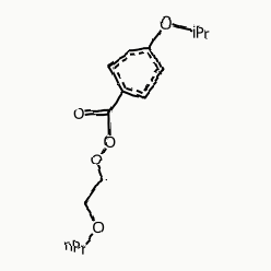 CCCOC[CH]OOC(=O)c1ccc(OC(C)C)cc1